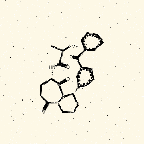 CNC(C)C(=O)N[C@H]1CCC(=O)N2CCC[C@@H](c3cccc(C(=O)c4ccccc4)c3)N2C1=O